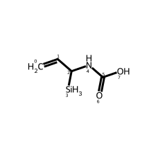 C=CC([SiH3])NC(=O)O